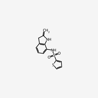 C=C1Cc2cccc(NS(=O)(=O)c3cccs3)c2N1